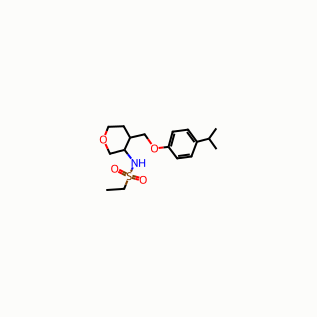 CCS(=O)(=O)NC1COCCC1COc1ccc(C(C)C)cc1